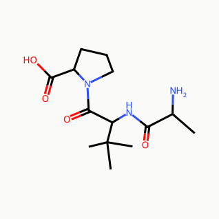 CC(N)C(=O)NC(C(=O)N1CCCC1C(=O)O)C(C)(C)C